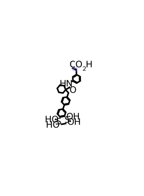 O=C(O)/C=C/c1cccc(NC(=O)C2(Cc3ccc(-c4ccc5c(c4)S(O)(O)CCS5(O)O)cc3)CCCCC2)c1